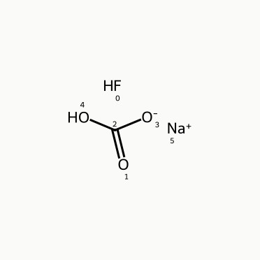 F.O=C([O-])O.[Na+]